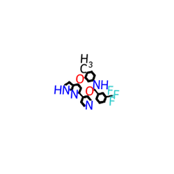 Cc1ccc(NC(=O)c2cccc(C(F)(F)F)c2)cc1Oc1cc(-c2ccncc2)nc2[nH]ccc12